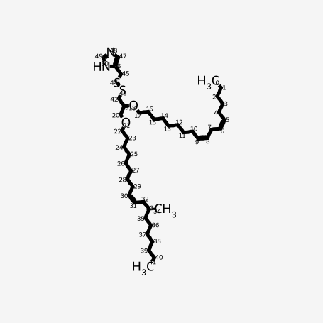 CCCCC/C=C\C/C=C\CCCCCCCCOC(COCCCCCCCC/C=C\C[C@@H](C)CCCCCCC)CSSCc1cnc[nH]1